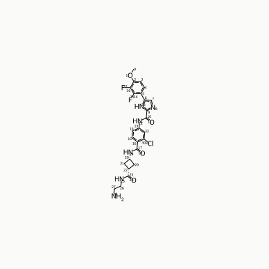 COc1ccc(-c2cnc(C(=O)Nc3ccc(C(=O)N[C@H]4C[C@@H](C(=O)NCCN)C4)c(Cl)c3)[nH]2)c(F)c1F